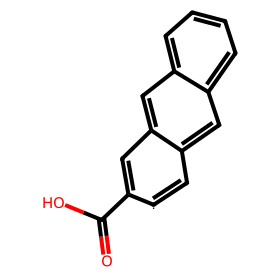 O=C(O)c1[c]cc2cc3ccccc3cc2c1